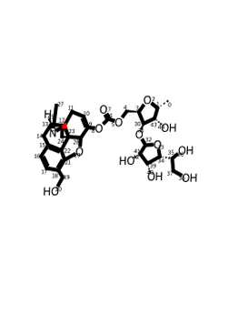 C[C@H]1O[C@H](COC(=O)OC2=CCC3[C@H]4Cc5ccc(CO)c6c5[C@@]3(CCN4C)C2O6)[C@H](OC2O[C@H](C(O)CO)[C@H](O)[C@@H]2O)[C@H]1O